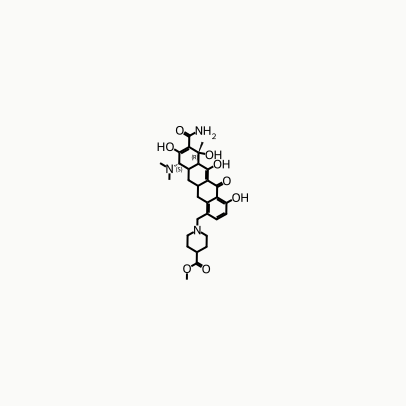 COC(=O)C1CCN(Cc2ccc(O)c3c2CC2CC4C(C(O)=C2C3=O)[C@@](C)(O)C(C(N)=O)=C(O)[C@H]4N(C)C)CC1